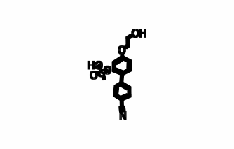 CS(=O)(=O)O.N#Cc1ccc(-c2ccc(OCCO)cc2)cc1